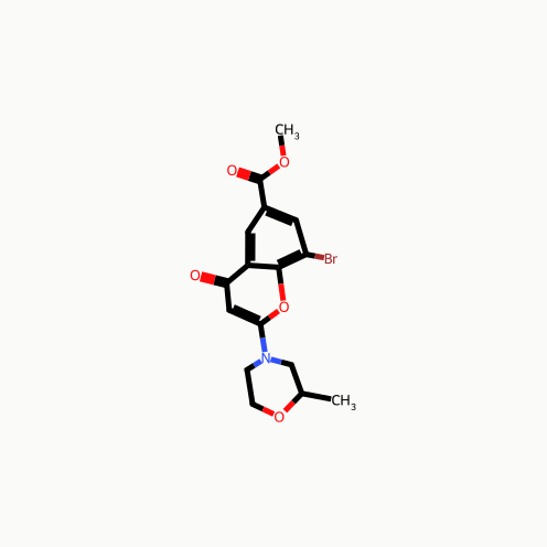 COC(=O)c1cc(Br)c2oc(N3CCOC(C)C3)cc(=O)c2c1